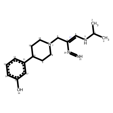 CC(C)N/C=C(/CN1CCC(c2cccc(O)c2)CC1)N=N